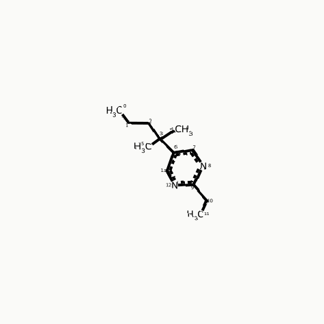 CCCC(C)(C)c1cnc(CC)nc1